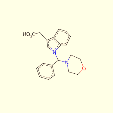 O=C(O)Cc1cn(C(c2ccccc2)N2CCOCC2)c2ccccc12